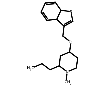 CCCC1CC(OCC2=CSC3C=CC=CC23)CCN1C